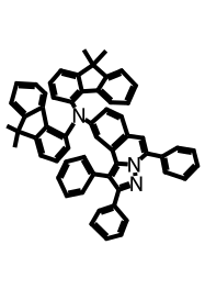 CC1(C)c2ccccc2-c2c(N(c3ccc4cc(-c5ccccc5)n5nc(-c6ccccc6)c(-c6ccccc6)c5c4c3)c3cccc4c3-c3ccccc3C4(C)C)cccc21